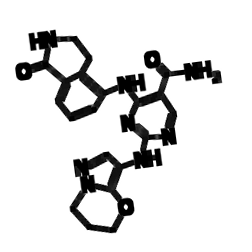 NC(=O)c1cnc(Nc2cnn3c2OCCC3)nc1Nc1cccc2c1CCNC2=O